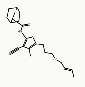 CC=CCNCCCc1sc(NC(=O)C2CC3CCC2CC3)c(C#N)c1C